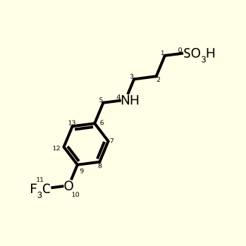 O=S(=O)(O)CCCNCc1ccc(OC(F)(F)F)cc1